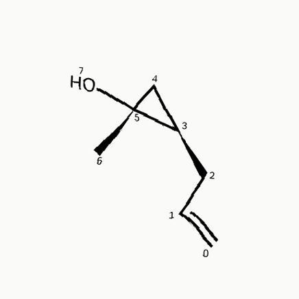 C=CC[C@@H]1C[C@@]1(C)O